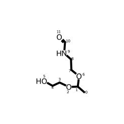 CC(OCCO)OCCNC=O